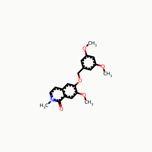 COc1cc(COc2cc3ccn(C)c(=O)c3cc2OC)cc(OC)c1